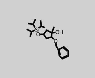 CC(C)[Si](OC1CC(OCc2ccccc2)C(C)(O)C1)(C(C)C)C(C)C